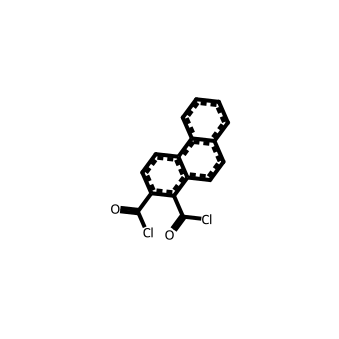 O=C(Cl)c1ccc2c(ccc3ccccc32)c1C(=O)Cl